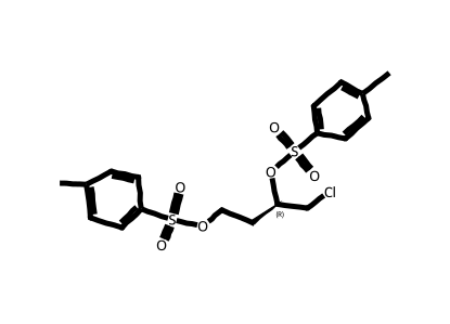 Cc1ccc(S(=O)(=O)OCC[C@H](CCl)OS(=O)(=O)c2ccc(C)cc2)cc1